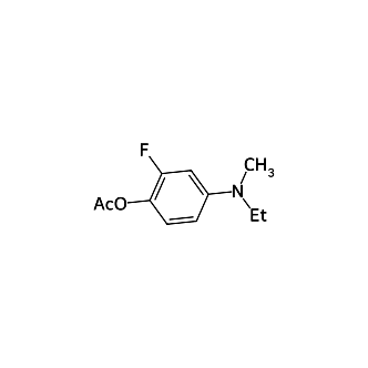 CCN(C)c1ccc(OC(C)=O)c(F)c1